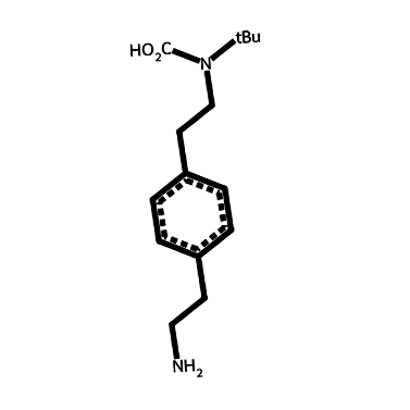 CC(C)(C)N(CCc1ccc(CCN)cc1)C(=O)O